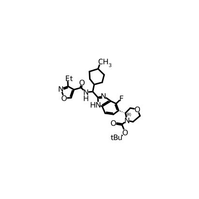 CCc1nocc1C(=O)NC(c1nc2c(F)c([C@@H]3COCCN3C(=O)OC(C)(C)C)ccc2[nH]1)C1CCC(C)CC1